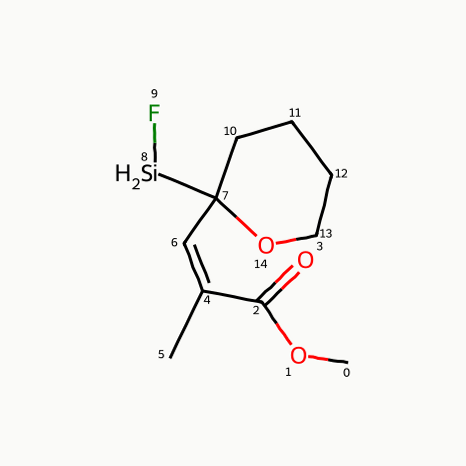 COC(=O)C(C)=CC1([SiH2]F)CCCCO1